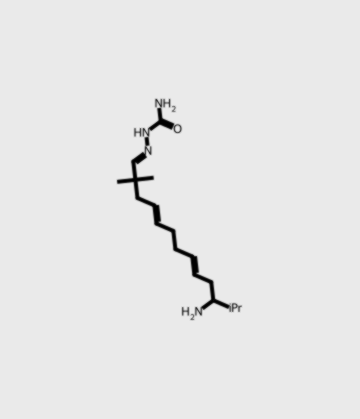 CC(C)C(N)CC=CCCC=CCC(C)(C)C=NNC(N)=O